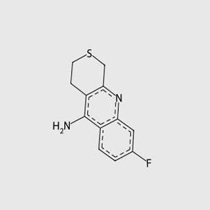 Nc1c2c(nc3cc(F)ccc13)CSCC2